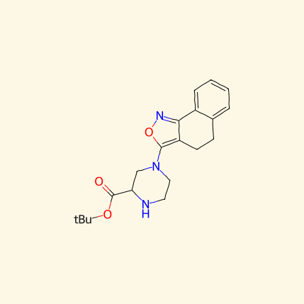 CC(C)(C)OC(=O)C1CN(c2onc3c2CCc2ccccc2-3)CCN1